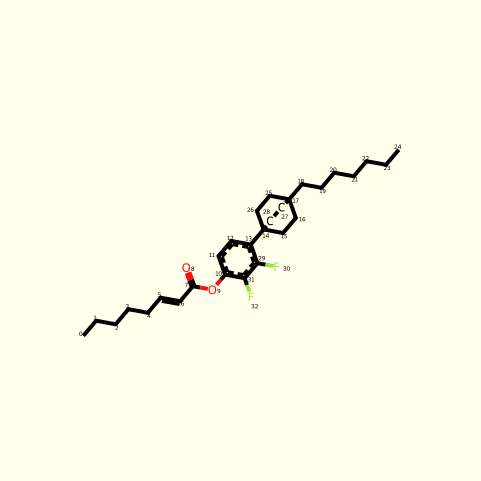 CCCCCC=CC(=O)Oc1ccc(C23CCC(CCCCCCC)(CC2)CC3)c(F)c1F